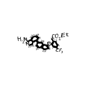 CCOC(=O)Cc1ccc(C(F)(F)F)cc1O[C@@H]1CCc2ccc(-c3cccc4c(N)nccc34)cc21